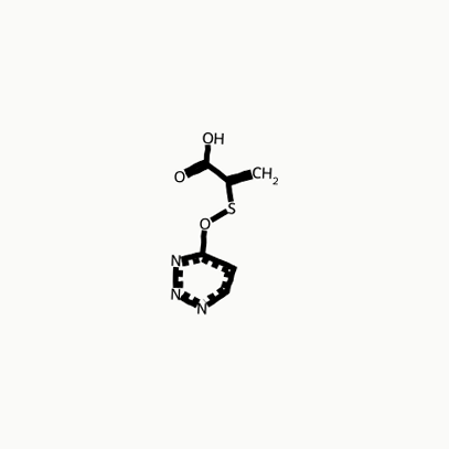 C=C(SOc1ccnnn1)C(=O)O